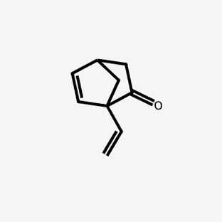 C=CC12C=CC(CC1=O)C2